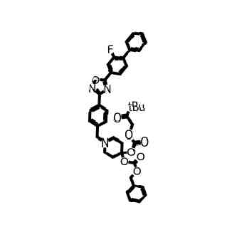 CC(C)(C)C(=O)COC(=O)OC1(OC(=O)OCc2ccccc2)CCN(Cc2ccc(-c3noc(-c4ccc(-c5ccccc5)c(F)c4)n3)cc2)CC1